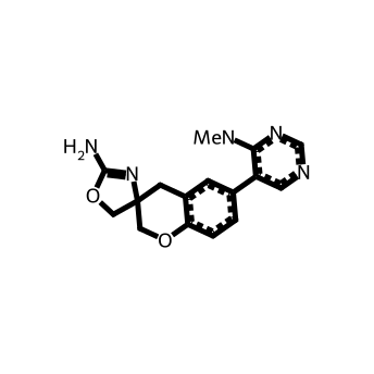 CNc1ncncc1-c1ccc2c(c1)CC1(COC(N)=N1)CO2